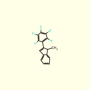 C[C]1C(c2c(F)c(F)c(F)c(F)c2F)=Cc2ccccc21